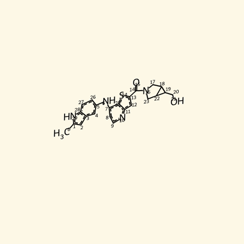 Cc1cc2cc(Nc3ccnc4cc(C(=O)N5CC6C(CO)C6C5)sc34)ccc2[nH]1